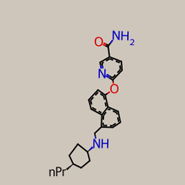 CCC[C@H]1CC[C@@H](NCc2cccc3c(Oc4ccc(C(N)=O)cn4)cccc23)CC1